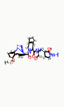 COc1cccc2[nH]c(C(=O)N3CC4CCCC4[C@H]3C(=O)NC(C=O)C[C@@H]3CCNC3=O)cc12